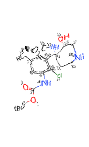 CC(C)(C)OC(=O)Nc1cc(C#N)cc([C@]2(NC(=O)O)CCNC[C@H]2O)c1Cl